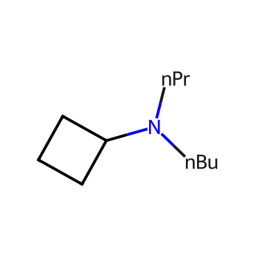 [CH2]CCCN(CCC)C1CCC1